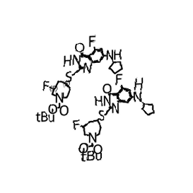 CC(C)(C)OC(=O)N1CCC(SCc2nc3cc(NC4CCCC4)cc(F)c3c(=O)[nH]2)CC(F)C1.CC(C)(C)OC(=O)N1CC[C@H](SCc2nc3cc(NC4CCCC4)cc(F)c3c(=O)[nH]2)C[C@H](F)C1